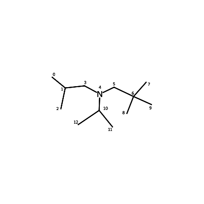 CC(C)CN(CC(C)(C)C)C(C)C